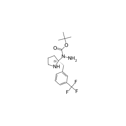 CC(C)(C)OC(=O)N(N)[C@]1(Cc2cccc(C(F)(F)F)c2)CCCN1